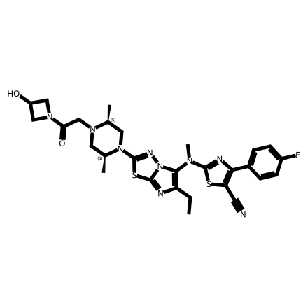 CCc1nc2sc(N3C[C@H](C)N(CC(=O)N4CC(O)C4)C[C@@H]3C)nn2c1N(C)c1nc(-c2ccc(F)cc2)c(C#N)s1